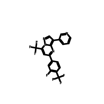 Fc1cc(-c2cc(C(F)(F)F)n3ncc(-c4cccnc4)c3n2)ccc1C(F)(F)F